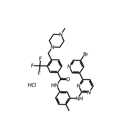 Cc1ccc(NC(=O)c2ccc(CN3CCN(C)CC3)c(C(F)(F)F)c2)cc1Nc1nccc(-c2cncc(Br)c2)n1.Cl